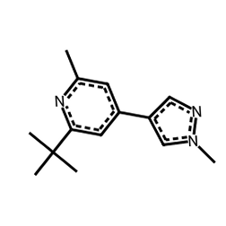 Cc1cc(-c2cnn(C)c2)cc(C(C)(C)C)n1